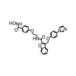 O=C(NO)c1ccc(OCCNC(=O)c2oc3ccccc3c2COc2ccc(-n3ccnc3)cc2)cc1